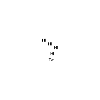 I.I.I.I.[Ta]